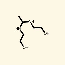 CC(NCCO)NCCO